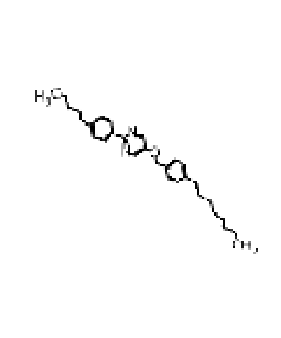 CCCCCCCCc1ccc(COc2cnc(-c3ccc(CCCCC)cc3)nc2)cc1